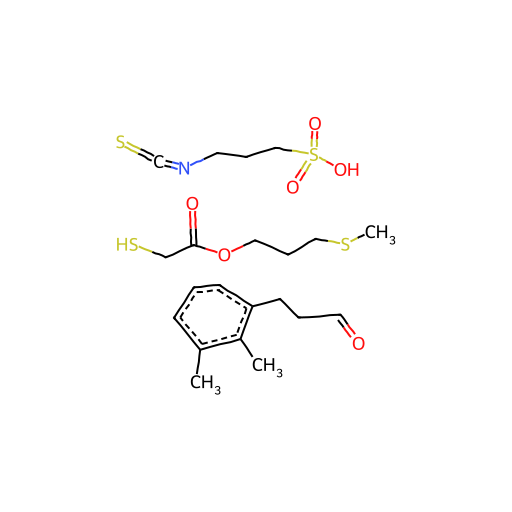 CSCCCOC(=O)CS.Cc1cccc(CCC=O)c1C.O=S(=O)(O)CCCN=C=S